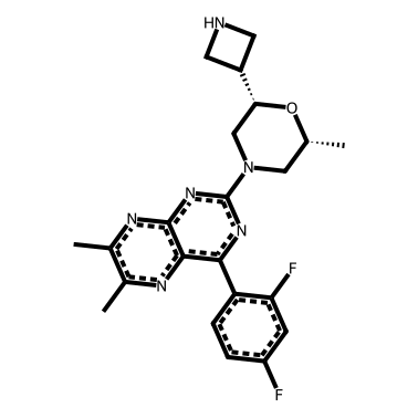 Cc1nc2nc(N3C[C@@H](C)O[C@@H](C4CNC4)C3)nc(-c3ccc(F)cc3F)c2nc1C